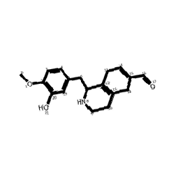 COc1ccc(CC2NCCC3=C2CC=C(C=O)C3)cc1O